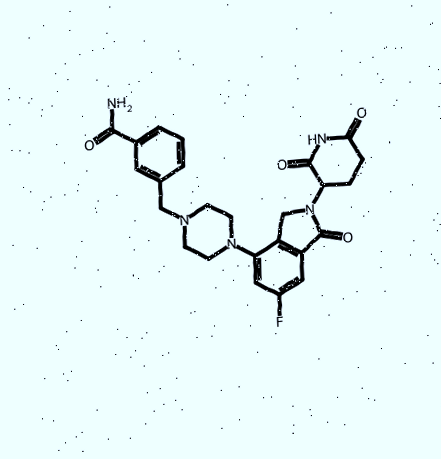 NC(=O)c1cccc(CN2CCN(c3cc(F)cc4c3CN(C3CCC(=O)NC3=O)C4=O)CC2)c1